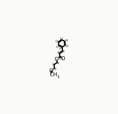 COCCCOC(=O)/C=C/c1ccccc1